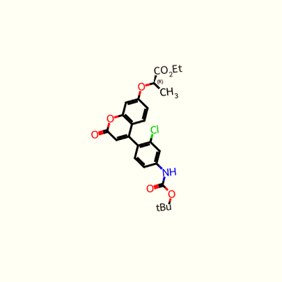 CCOC(=O)[C@@H](C)Oc1ccc2c(-c3ccc(NC(=O)OC(C)(C)C)cc3Cl)cc(=O)oc2c1